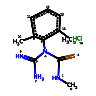 CNC(=S)N(C(=N)N)c1c(C)cccc1C.Cl